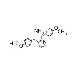 COc1ccc(Cc2cccnc2Cc2ccc(OC)cc2)cc1.N